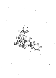 CCOP(=O)(OCC)C(O)[C@H](CC1CCNC1=O)NC(=O)[C@H](CC1CCCCC1)NC(=O)O